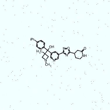 CC(C)c1ccc(C(O)(c2cncc(-c3noc(C4CCNC(=O)C4)n3)c2)C2(C)CN(C)C2)cc1